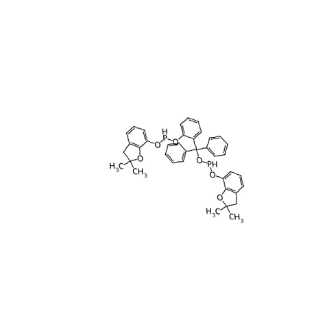 CC1(C)Cc2cccc(OPOc3ccccc3C(OPOc3cccc4c3OC(C)(C)C4)(c3ccccc3)c3ccccc3)c2O1